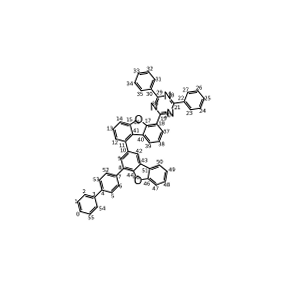 c1ccc(-c2ccc(-c3cc(-c4cccc5oc6c(-c7nc(-c8ccccc8)nc(-c8ccccc8)n7)cccc6c45)cc4c3oc3ccccc34)cc2)cc1